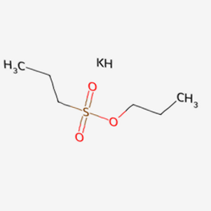 CCCOS(=O)(=O)CCC.[KH]